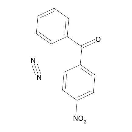 N#N.O=C(c1ccccc1)c1ccc([N+](=O)[O-])cc1